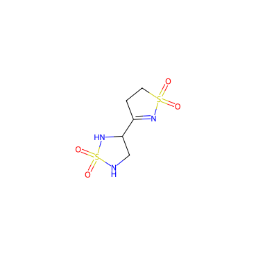 O=S1(=O)CCC(C2CNS(=O)(=O)N2)=N1